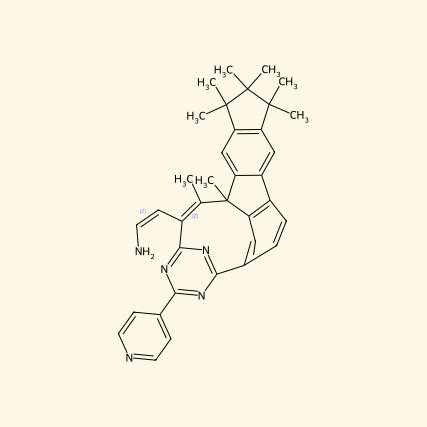 C/C1=C(\C=C/N)c2nc(-c3ccncc3)nc(n2)-c2ccc3c(c2)C1(C)c1cc2c(cc1-3)C(C)(C)C(C)(C)C2(C)C